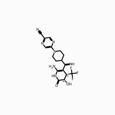 N#Cc1cnc(N2CCC(C(=N)C3=C(N)NC(=O)[C@H](O)[C@@H]3C(F)(F)F)CC2)cn1